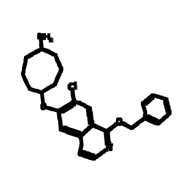 NC1CCCC(Oc2cc3ccnc(OCc4ccccc4)c3cc2Cl)CCC1